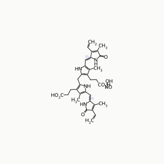 C=CC1=C(C)/C(=C/c2[nH]c(Cc3[nH]c(/C=C4\NC(=O)C(C)=C4C=C)c(C)c3CCC(=O)O)c(CCC(=O)O)c2C)NC1=O.O=NO